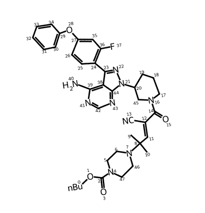 CCCCOC(=O)N1CCN(C(C)(C)/C=C(\C#N)C(=O)N2CCCC(n3nc(-c4ccc(Oc5ccccc5)cc4F)c4c(N)ncnc43)C2)CC1